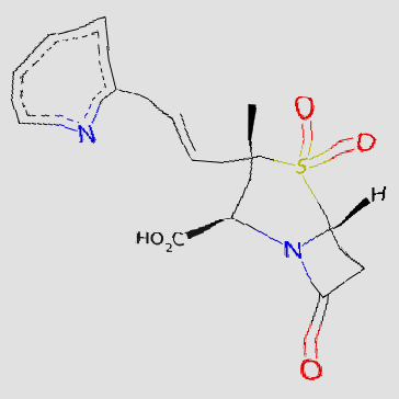 C[C@]1(/C=C/c2ccccn2)[C@H](C(=O)O)N2C(=O)C[C@H]2S1(=O)=O